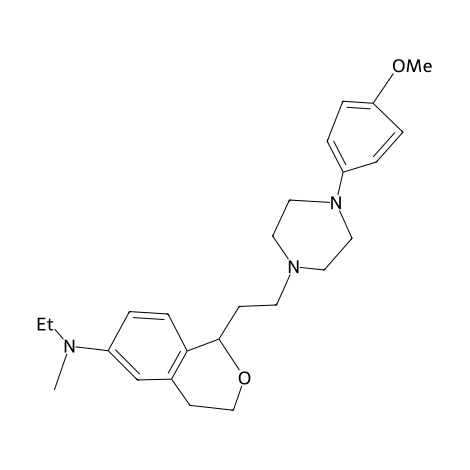 CCN(C)c1ccc2c(c1)CCOC2CCN1CCN(c2ccc(OC)cc2)CC1